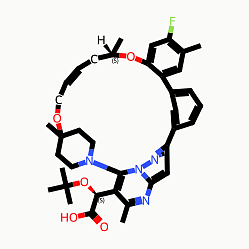 Cc1cc2c(cc1F)O[C@@H](C)CC=CCOC1(C)CCN(CC1)c1c([C@H](OC(C)(C)C)C(=O)O)c(C)nc3cc(nn13)-c1cccc-2c1